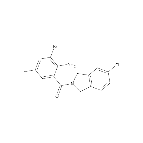 Cc1cc(Br)c(N)c(C(=O)N2Cc3ccc(Cl)cc3C2)c1